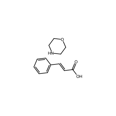 C1COCCN1.O=C(O)C=Cc1ccccc1